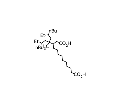 CCCCC(CC)CC(C)(CC(CC)CCCC)C(CCCCCCCCCC(=O)O)CC(=O)O